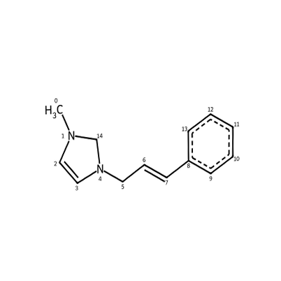 CN1C=CN(CC=Cc2ccccc2)C1